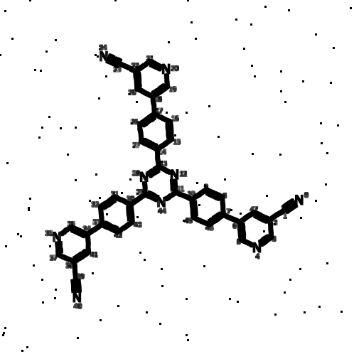 N#Cc1cncc(-c2ccc(-c3nc(-c4ccc(-c5cncc(C#N)c5)cc4)nc(-c4ccc(-c5cncc(C#N)c5)cc4)n3)cc2)c1